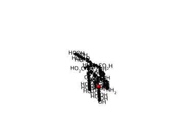 Nc1nc2ncc(CNc3ccc(C(=O)N[C@@H](CCC(=O)C[C@@H](CCC(=O)NC[C@H](O)[C@@H](O)[C@H](O)[C@H](O)CO)C(=O)N[C@@H](CCC(=O)O)C(=O)C[C@@H](CCC(=O)NC[C@H](O)[C@@H](O)[C@H](O)[C@H](O)CO)C(=O)N[C@@H](CS)C(=O)C[C@@H](CCC(=O)O)C(=O)N[C@@H](CCC(=O)NC[C@H](O)[C@@H](O)[C@H](O)[C@H](O)CO)C(=O)C[C@@H](CS)C(=O)O)C(=O)O)cc3)nc2c(=O)[nH]1